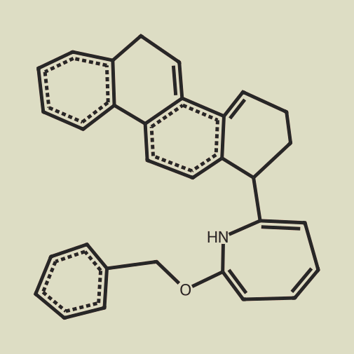 C1=CC=C(C2CCC=c3c2ccc2c3=CCc3ccccc3-2)NC(OCc2ccccc2)=C1